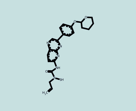 C=CCN(S)C(=O)Nc1ccc2ncc(-c3ccc(OC4CCCCO4)cc3)nc2n1